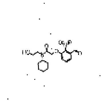 O=Cc1cccc(OCC(=O)N(CCO)C2CCCCC2)c1[N+](=O)[O-]